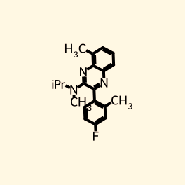 Cc1cc(F)ccc1-c1nc2cccc(C)c2nc1N(C)C(C)C